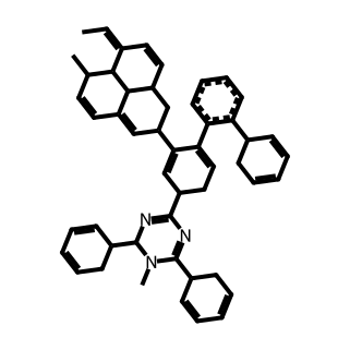 C/C=C1/C=CC2CC(C3=CC(C4=NC(C5C=CC=CC5)N(C)C(C5C=CC=CC5)=N4)CC=C3c3ccccc3C3C=CC=CC3)C=C3C=CC(C)C1C32